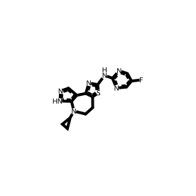 Fc1cnc(Nc2nc3c(s2)CCN(C2CC2)c2[nH]ncc2-3)nc1